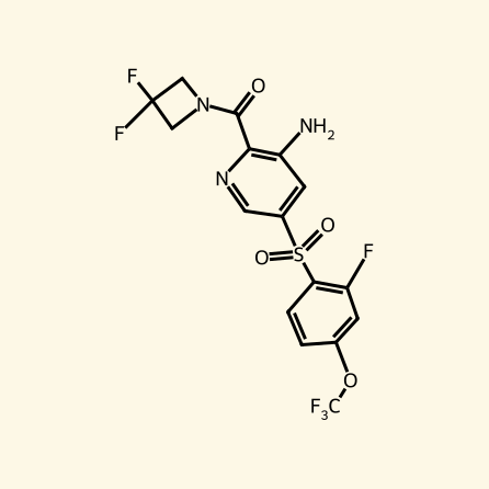 Nc1cc(S(=O)(=O)c2ccc(OC(F)(F)F)cc2F)cnc1C(=O)N1CC(F)(F)C1